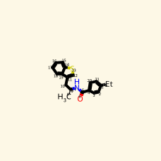 CCc1ccc(C(=O)N[C@H](C)Cc2csc3ccccc23)cc1